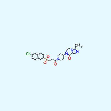 Cc1ncc2n1CCN(C1CCN(C(=O)CCS(=O)(=O)c3ccc4cc(Cl)ccc4c3)CC1)C2=O